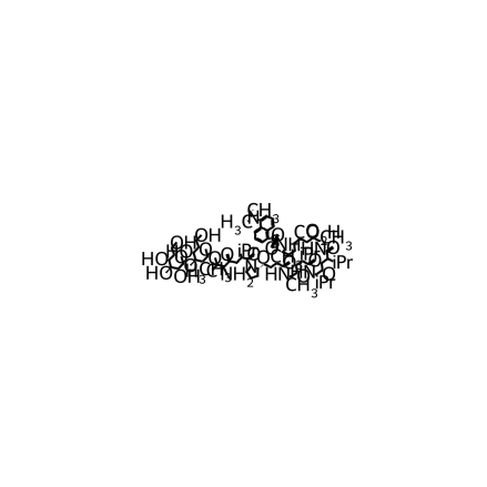 CC(CC(=O)[C@@H]1CCCN1C(=O)C(CC(=O)[C@@H](N)C(C)O[C@H]1OC(CO)[C@H](O)[C@H](O[C@@H]2OC(CO)[C@H](O)[C@H](O)C2O)C1C)C(C)C)C(=O)N[C@@H](C)C(=O)CC(C(=O)N[C@H](C(=O)CC(C(=O)N[C@@H](C)C(=O)CC(CCCCNS(=O)(=O)c1cccc2c(N(C)C)cccc12)C(=O)O)C(C)C)C(C)C)C(C)C